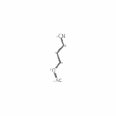 [CH2]C(=O)OCCCC#N